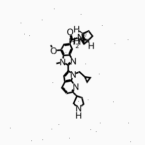 COc1cc(C(=O)N2C[C@H]3CC[C@@H]2[C@@H]3N)cc2nc(-c3cc4ccc(C5CCNC5)nc4n3CC3CC3)n(C)c12